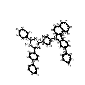 c1ccc(-c2ccc(C3=NC(c4ccc(-n5c6cc(-c7ccccc7)ccc6c6c7ccccc7ccc65)cn4)NC(c4ccccc4)N3)cc2)cc1